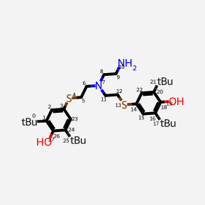 CC(C)(C)c1cc(SCCN(CCN)CCSc2cc(C(C)(C)C)c(O)c(C(C)(C)C)c2)cc(C(C)(C)C)c1O